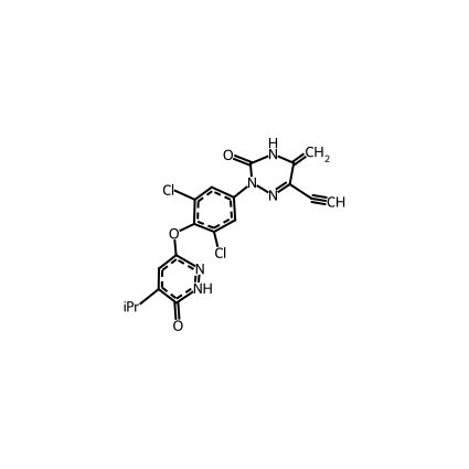 C#CC1=NN(c2cc(Cl)c(Oc3cc(C(C)C)c(=O)[nH]n3)c(Cl)c2)C(=O)NC1=C